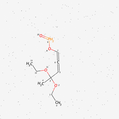 CCOC(C)(C=C=CO[PH2]=O)OCC